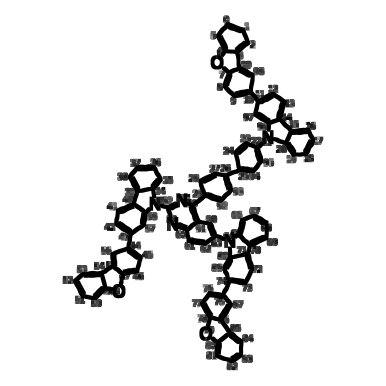 c1ccc2c(c1)oc1ccc(-c3ccc4c5ccccc5n(-c5ccc(-c6ccc(-c7nc(-n8c9ccccc9c9ccc(-c%10ccc%11oc%12ccccc%12c%11c%10)cc98)nc8ccc(-n9c%10ccccc%10c%10ccc(-c%11ccc%12oc%13ccccc%13c%12c%11)cc%109)cc78)cc6)cc5)c4c3)cc12